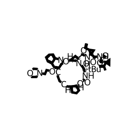 C=CC1C[C@]1(NC(=O)[C@@H]1C[C@@H]2CN1C(=O)[C@H](C(C)(C)C)NC(=O)O[C@@H]1CCC[C@H]1CCCCCc1c(nc3ccccc3c1OCCN1CCOCC1)O2)C(=O)NS(=O)(=O)C1(C(=C)C)CC1